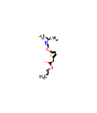 CCCOC(=O)Cc1ccc(O/C=N/C(C)C)s1